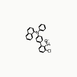 C[S+]([O-])c1c(Cl)cccc1-c1ccc(N(c2ccccc2)c2cccc3ccccc23)cc1